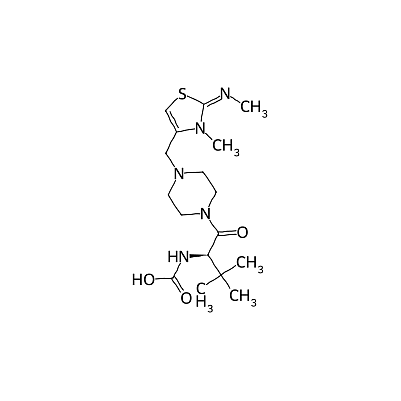 CN=c1scc(CN2CCN(C(=O)[C@H](NC(=O)O)C(C)(C)C)CC2)n1C